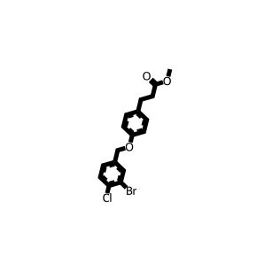 COC(=O)CCc1ccc(OCc2ccc(Cl)c(Br)c2)cc1